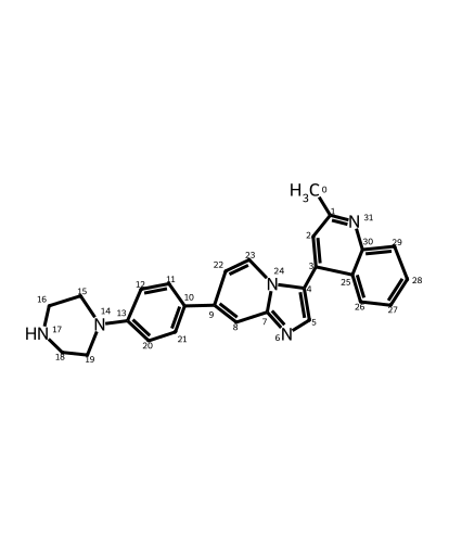 Cc1cc(-c2cnc3cc(-c4ccc(N5CCNCC5)cc4)ccn23)c2ccccc2n1